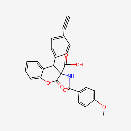 C#Cc1ccc(C2c3ccccc3OC(=O)C2(NC(=O)c2ccc(OC)cc2)C(=O)O)cc1